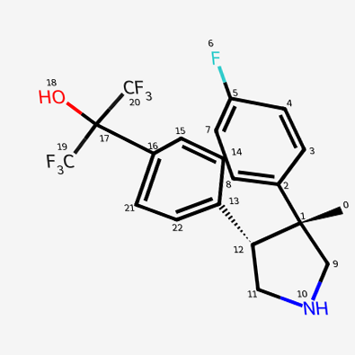 C[C@@]1(c2ccc(F)cc2)CNC[C@@H]1c1ccc(C(O)(C(F)(F)F)C(F)(F)F)cc1